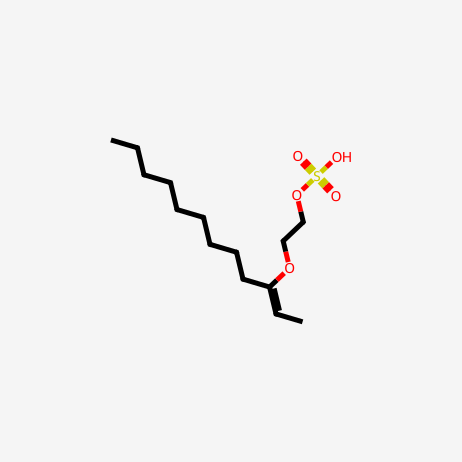 CC=C(CCCCCCCCC)OCCOS(=O)(=O)O